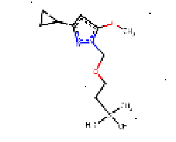 COc1cc(C2CC2)nn1COCC[Si](C)(C)C